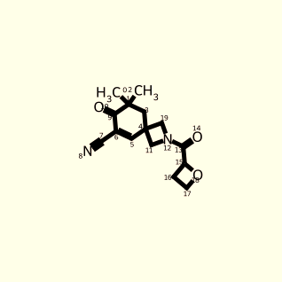 CC1(C)CC2(C=C(C#N)C1=O)CN(C(=O)C1CCO1)C2